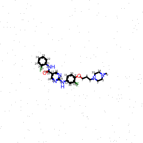 CN1CCN(CCCOc2ccc(Nc3ncc(C(=O)Nc4ccccc4F)cn3)cc2F)CC1